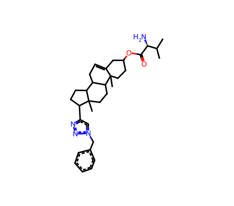 CC(C)[C@H](N)C(=O)OC1CCC2(C)C(=CCC3C2CCC2(C)C(c4cn(Cc5ccccc5)nn4)CCC32)C1